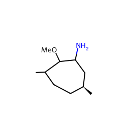 COC1C(C)CC[C@H](C)CC1N